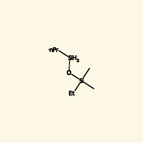 CC[CH][SiH2]O[Si](C)(C)CC